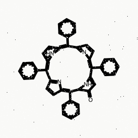 O=C1C=C2NC1C(c1ccccc1)=C1C=CC(=N1)C(c1ccccc1)=c1ccc([nH]1)=C(c1ccccc1)C1=NC(=C2c2ccccc2)C=C1